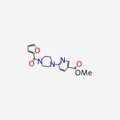 COC(=O)c1ccc(N2CCN(C(=O)c3ccco3)CC2)nc1